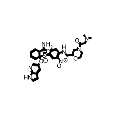 CN(C)CC(=O)N1CCOC(CNc2ccc(S(=O)(=O)C3(Oc4cnc5[nH]ccc5c4)C=CC=CC3C(N)=O)cc2[N+](=O)[O-])C1